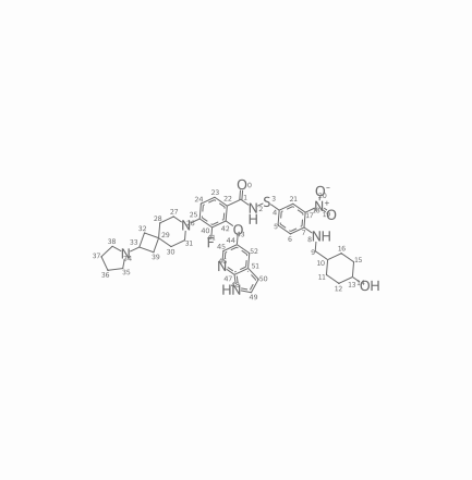 O=C(NSc1ccc(NCC2CCC(O)CC2)c([N+](=O)[O-])c1)c1ccc(N2CCC3(CC2)CC(N2CCCC2)C3)c(F)c1Oc1cnc2[nH]ccc2c1